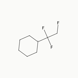 FCC(F)(F)[C]1CCCCC1